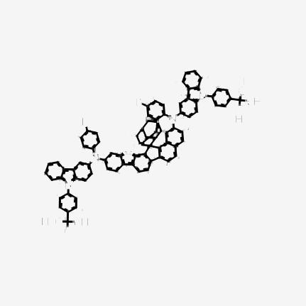 CC(C)(C)c1ccc(-n2c3ccccc3c3cc(N(c4ccc(F)cc4)c4ccc5c(c4)oc4c6c(ccc45)-c4ccc5ccc(N(c7ccc(F)cc7)c7ccc8c(c7)c7ccccc7n8-c7ccc(C(C)(C)C)cc7)cc5c4C64C5CC6CC(C5)CC4C6)ccc32)cc1